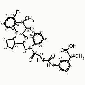 CC(C(=O)O)c1cccc(NC(=O)NCC(=O)N(CCC2CCCC2)c2ccccc2OCC(=O)N(C)c2c(F)cccc2F)c1